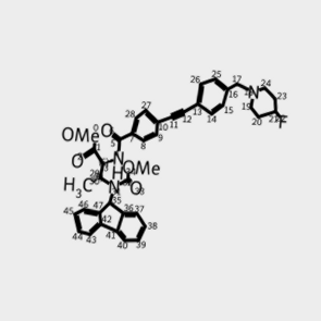 COC(=O)[C@@H](NC(=O)c1ccc(C#Cc2ccc(CN3CCC(F)CC3)cc2)cc1)[C@@H](C)N(C(=O)OC)C1c2ccccc2-c2ccccc21